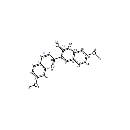 COc1ccc(/C=C\C(=O)c2cc3ccc(OC)cc3oc2=O)cc1